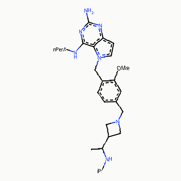 CCCCCNc1nc(N)nc2ccn(Cc3ccc(CN4CC(C(C)NC(C)C)C4)cc3OC)c12